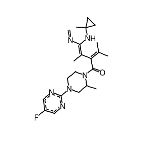 C=N/C(NC1(C)CC1)=C(\C)C(C(=O)N1CCN(c2ncc(F)cn2)CC1C)=C(C)C